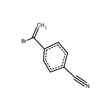 C=C(Br)c1ccc(C#N)cc1